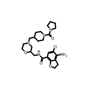 Nc1c(Cl)cc(C(=O)NCC2CN(CC3CCN(C(=O)N4CCCC4)CC3)CCO2)c2c1CCO2